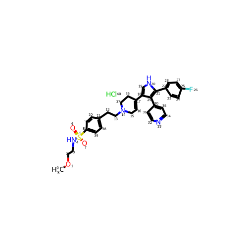 COCCNS(=O)(=O)c1ccc(CCN2CC=C(c3c[nH]c(-c4ccc(F)cc4)c3-c3ccncc3)CC2)cc1.Cl